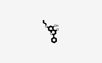 C=CCOc1cc(O)c2c(=O)cc(-c3ccccc3)oc2c1